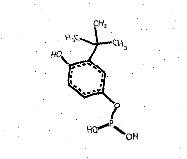 CC(C)(C)c1cc(OP(O)O)ccc1O